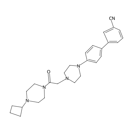 N#Cc1cccc(-c2ccc(N3CCN(CC(=O)N4CCN(C5CCC5)CC4)CC3)cc2)c1